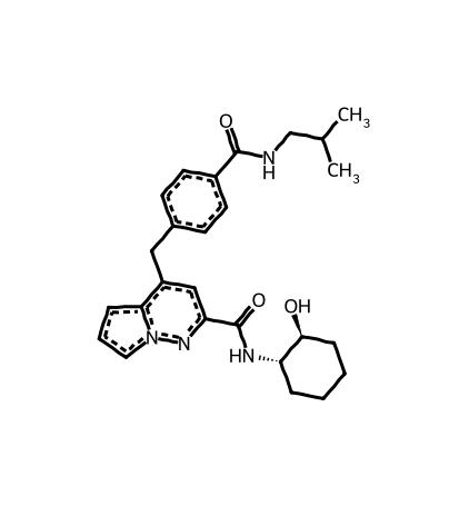 CC(C)CNC(=O)c1ccc(Cc2cc(C(=O)N[C@H]3CCCC[C@@H]3O)nn3cccc23)cc1